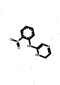 O=[N+]([O-])c1ccccc1NC1=CN=CCN1